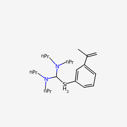 C=C(C)c1cccc([SiH2]C(N(CCC)CCC)N(CCC)CCC)c1